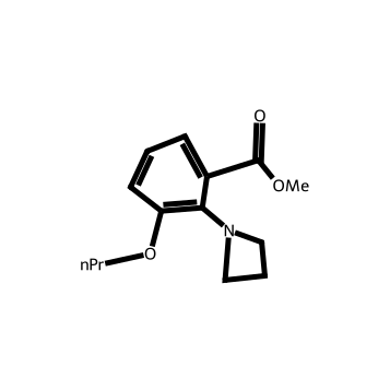 CCCOc1cccc(C(=O)OC)c1N1CCC1